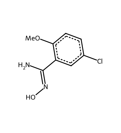 COc1ccc(Cl)cc1/C(N)=N/O